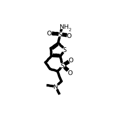 CN(C)CC1CCc2cc(S(N)(=O)=O)sc2S1(=O)=O